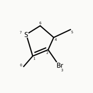 CC1=C(Br)C(C)CS1